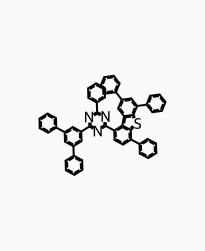 c1ccc(-c2cc(-c3ccccc3)cc(-c3nc(-c4ccccc4)nc(-c4ccc(-c5ccccc5)c5sc6c(-c7ccccc7)cc(-c7ccccc7)cc6c45)n3)c2)cc1